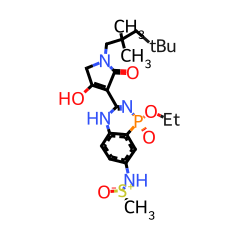 CCOP1(=O)N=C(C2=C(O)CN(CC(C)(C)CC(C)(C)C)C2=O)Nc2ccc(N[S@@+](C)[O-])cc21